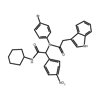 O=C(NC1CCCCC1)C(c1ccc([N+](=O)[O-])cc1)N(C(=O)Cc1c[nH]c2ccccc12)c1ccc(Br)cc1